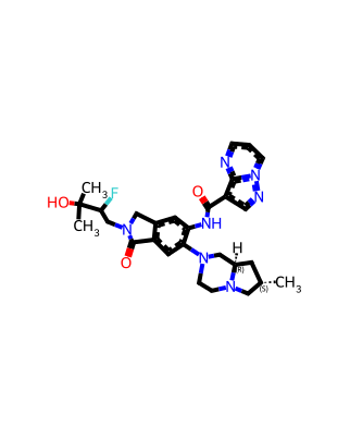 C[C@H]1C[C@@H]2CN(c3cc4c(cc3NC(=O)c3cnn5cccnc35)CN(CC(F)C(C)(C)O)C4=O)CCN2C1